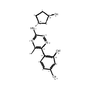 Cc1nc(N[C@@H]2CC[C@@H](O)C2)nnc1-c1ccc(C(F)(F)F)cc1O